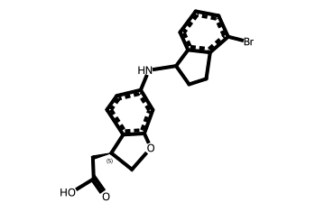 O=C(O)C[C@@H]1COc2cc(NC3CCc4c(Br)cccc43)ccc21